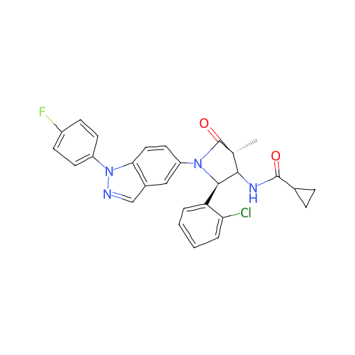 C[C@H]1C(=O)N(c2ccc3c(cnn3-c3ccc(F)cc3)c2)[C@H](c2ccccc2Cl)C1NC(=O)C1CC1